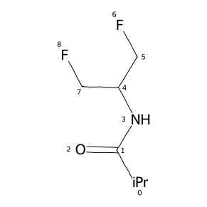 CC(C)C(=O)NC(CF)CF